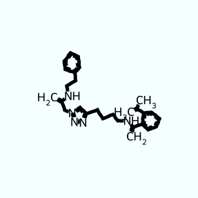 C=C(Cn1cc(CCCCNC(=C)c2ccccc2C(=C)C)nn1)NCCc1ccccc1